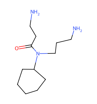 NCCCN(C(=O)CCN)C1CCCCC1